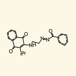 CC(C)C1=C(NCCN=NC(=O)c2ccccc2)C(=O)c2ccccc2C1=O